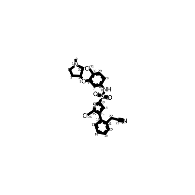 CN1CCC(Oc2cc(NS(=O)(=O)c3cc(-c4ccccc4CC#N)c(Cl)s3)ccc2Cl)C1